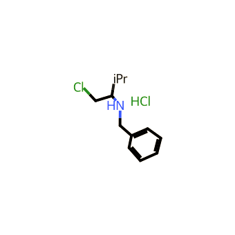 CC(C)C(CCl)NCc1ccccc1.Cl